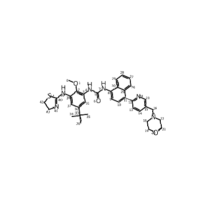 COc1c(NC(=O)Nc2ccc(-c3ccc(CN4CCOCC4)cn3)c3ccccc23)cc(C(C)(C)C)cc1NC1=NCCS1